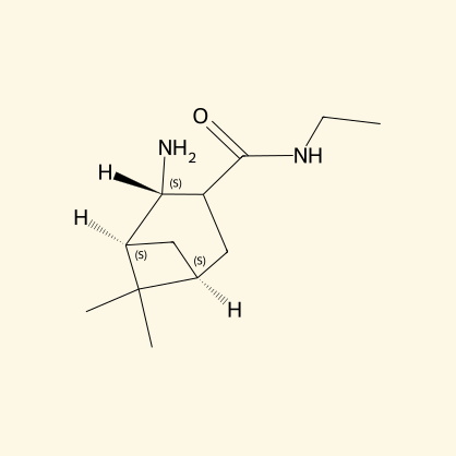 CCNC(=O)C1C[C@@H]2C[C@H]([C@@H]1N)C2(C)C